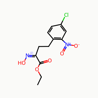 CCOC(=O)/C(CCc1ccc(Cl)cc1[N+](=O)[O-])=N\O